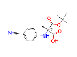 CC(C)(C)OC(=O)[C@@](C)(Nc1ccc(C#N)cc1)C(=O)O